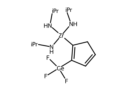 CC(C)[NH][Zr]([NH]C(C)C)([NH]C(C)C)[C]1=[C]([Ge]([F])([F])[F])C=CC1